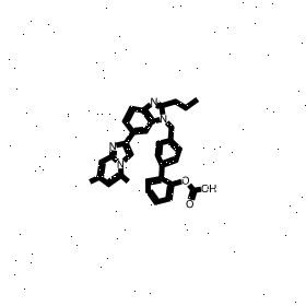 CCCc1nc2ccc(-c3cn4c(C)cc(C)cc4n3)cc2n1Cc1ccc(-c2ccccc2OC(=O)O)cc1